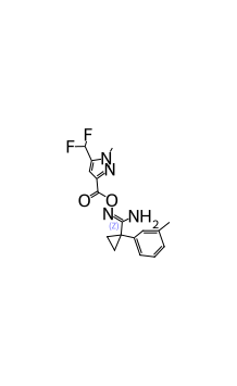 Cc1cccc(C2(/C(N)=N/OC(=O)c3cc(C(F)F)n(C)n3)CC2)c1